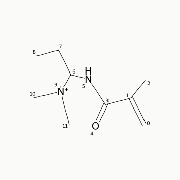 C=C(C)C(=O)NC(CC)[N+](C)C